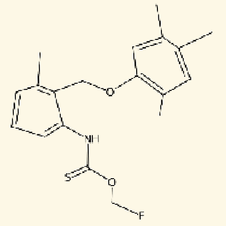 Cc1cc(C)c(OCc2c(C)cccc2NC(=S)OCF)cc1C